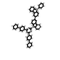 C1=Cc2c(c3cc(-c4ccc5c(c4)c4ccccc4n5-c4ccccc4)ccc3n2-c2nc(-c3ccc(-c4ccccc4)cc3)nc(-c3ccc(-c4ccccc4)cc3)n2)CC1